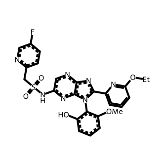 CCOC1=NC(c2nc3ncc(NS(=O)(=O)Cc4ccc(F)cn4)nc3n2-c2c(O)cccc2OC)=C=C=C1